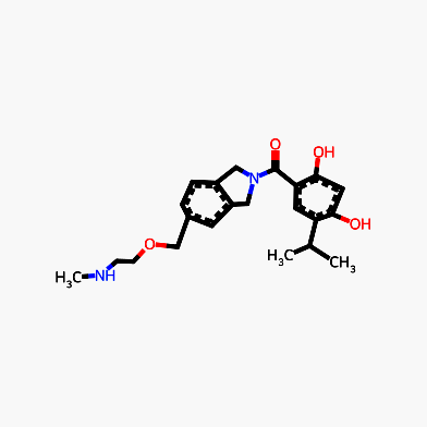 CNCCOCc1ccc2c(c1)CN(C(=O)c1cc(C(C)C)c(O)cc1O)C2